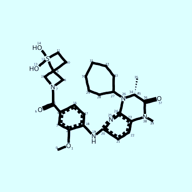 COc1cc(C(=O)N2CC3(CCS3(O)O)C2)ccc1Nc1ccc2c(n1)N(C1CCCCCC1)[C@H](C)C(=O)N2C